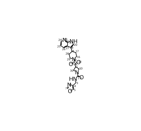 O=C(NCc1cocn1)N1CC(S(=O)(=O)N2CCC(c3c[nH]c4ncccc34)CC2)C1